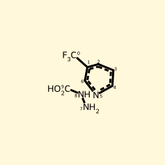 FC(F)(F)c1cccnc1.NNC(=O)O